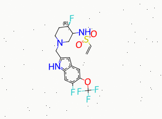 C=CS(=O)(=O)NC1CN(Cc2cc3cc(OC(F)(F)F)c(F)cc3[nH]2)CC[C@H]1F